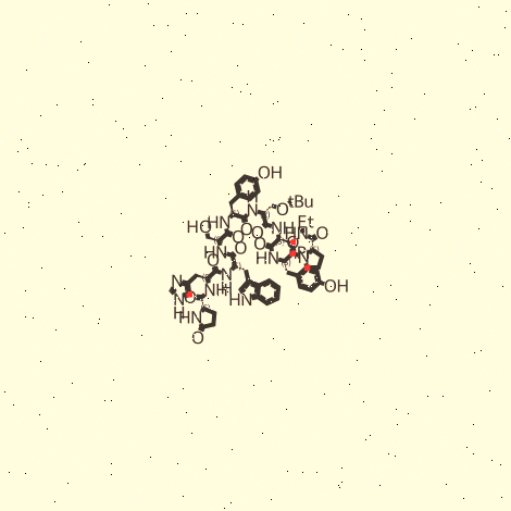 CCNC(=O)[C@@H]1CCCN1C(=O)[C@H](Cc1ccc(O)cc1)NC(=O)[C@H](CC(C)C)NC(=O)[C@@H](COC(C)(C)C)NC(=O)[C@H](Cc1ccc(O)cc1)NC(=O)[C@H](CO)NC(=O)[C@H](Cc1c[nH]c2ccccc12)NC(=O)[C@H](Cc1c[nH]cn1)NC(=O)[C@@H]1CCC(=O)N1